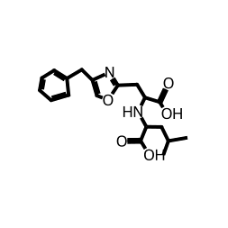 CC(C)CC(NC(Cc1nc(Cc2ccccc2)co1)C(=O)O)C(=O)O